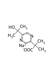 CC(C)(O)c1cnc(C(C)(C)C(=O)[O-])cn1.[Na+]